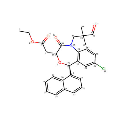 CCOC(=O)C[C@H]1O[C@H](c2cccc3ccccc23)c2cc(Cl)ccc2N(CC(C)(C)C=O)C1=O